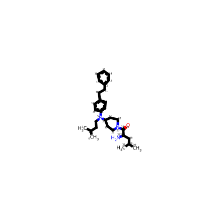 CC(C)CCN(c1ccc(CCc2ccccc2)cc1)C1CCN(C(=O)C(N)CC(C)C)CC1